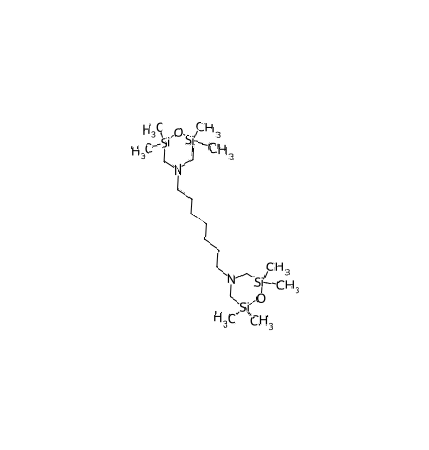 C[Si]1(C)CN(CCCCCCCN2C[Si](C)(C)O[Si](C)(C)C2)C[Si](C)(C)O1